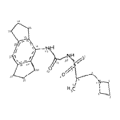 CC(CN1CCC1)S(=O)(=O)NC(=O)Nc1c2c(cc3c1CCC3)CCC2